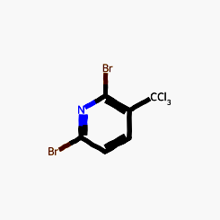 ClC(Cl)(Cl)c1ccc(Br)nc1Br